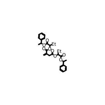 C=C(CC(=O)OC(CC)C(=O)OC(C)c1ccccc1)C(=O)OC(CC)C(=O)OC(C)c1ccccc1